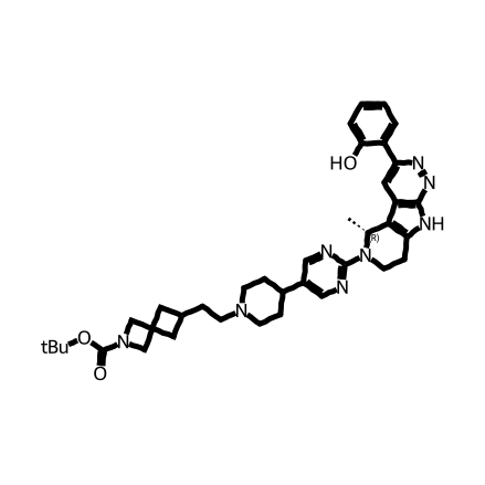 C[C@@H]1c2c([nH]c3nnc(-c4ccccc4O)cc23)CCN1c1ncc(C2CCN(CCC3CC4(C3)CN(C(=O)OC(C)(C)C)C4)CC2)cn1